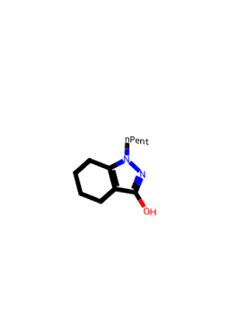 CCCCCn1nc(O)c2c1CCCC2